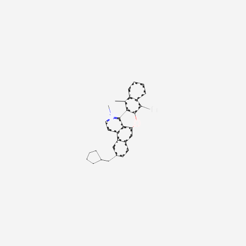 Cc1c2c(c(C(C)C)c3ccccc13)Oc1cc3ccc(CC4CCCC4)cc3c3cc[n+](C)c-2c13